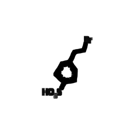 O=S(=O)(O)c1ccc(CCBr)cc1